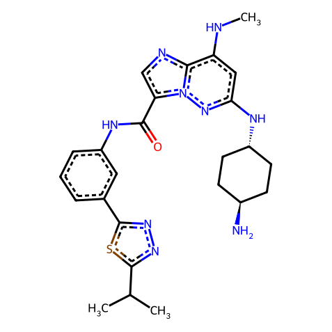 CNc1cc(N[C@H]2CC[C@H](N)CC2)nn2c(C(=O)Nc3cccc(-c4nnc(C(C)C)s4)c3)cnc12